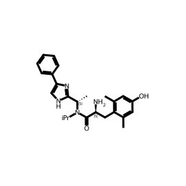 Cc1cc(O)cc(C)c1C[C@H](N)C(=O)N(C(C)C)[C@@H](C)c1nc(-c2ccccc2)c[nH]1